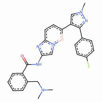 CN(C)Cc1ccccc1C(=O)Nc1cn2bc(-c3cn(C)nc3-c3ccc(F)cc3)ccc2n1